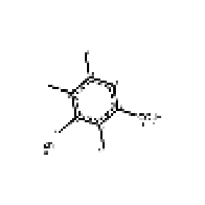 Cc1cc(C(=O)O)c(C)c(C)c1C.[Zn]